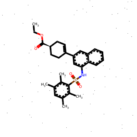 CCOC(=O)[C@H]1CC=C(c2cc(NS(=O)(=O)c3c(C)c(C)cc(C)c3C)c3ccccc3c2)CC1